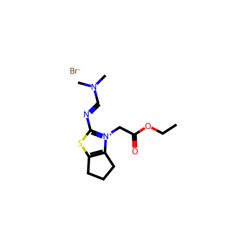 CCOC(=O)C[n+]1c(N=CN(C)C)sc2c1CCC2.[Br-]